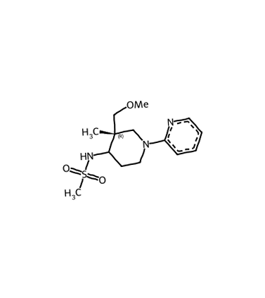 COC[C@]1(C)CN(c2ccccn2)CCC1NS(C)(=O)=O